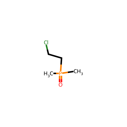 CP(C)(=O)CCCl